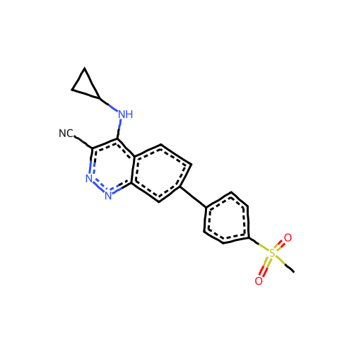 CS(=O)(=O)c1ccc(-c2ccc3c(NC4CC4)c(C#N)nnc3c2)cc1